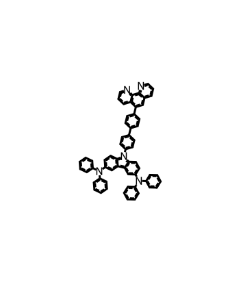 c1ccc(N(c2ccccc2)c2ccc3c(c2)c2cc(N(c4ccccc4)c4ccccc4)ccc2n3-c2ccc(-c3ccc(-c4cc5cccnc5c5ncccc45)cc3)cc2)cc1